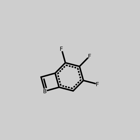 Fc1cc2c(c(F)c1F)C=B2